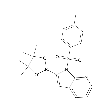 Cc1ccc(S(=O)(=O)n2c(B3OC(C)(C)C(C)(C)O3)cc3cccnc32)cc1